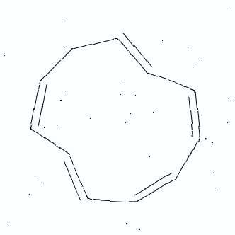 [C]1=C\C=C\C/C=C\C=C\C=C/1